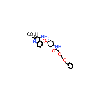 Cc1nc2cccc(O[C@H]3CC[C@H](NC(=O)COCCOCc4ccccc4)CC3)c2c(N)c1C(=O)O